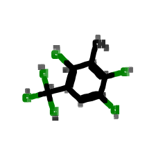 Cc1c(Cl)c(Cl)cc(C(Cl)(Cl)Cl)c1Cl